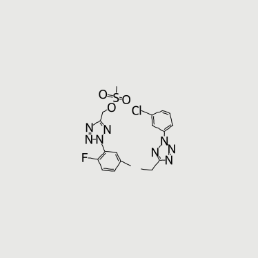 CCc1nnn(-c2cccc(Cl)c2)n1.Cc1ccc(F)c(-n2nnc(COS(C)(=O)=O)n2)c1